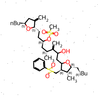 C=C(C(O)CC1O[C@H](C[C@H](C)CC)[C@H](C)[C@H]1CS(=O)(=O)c1ccccc1)[C@H](C)C[C@@H](CC[C@@H]1O[C@@H](CCCC)CC1=C)OS(C)(=O)=O